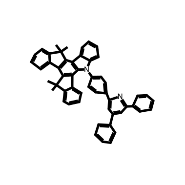 CC1(C)c2ccccc2-c2c1c1c(c3c4ccccc4n(-c4ccc(-c5cc(-c6ccccc6)cc(-c6ccccc6)n5)cc4)c23)C(C)(C)c2ccccc2-1